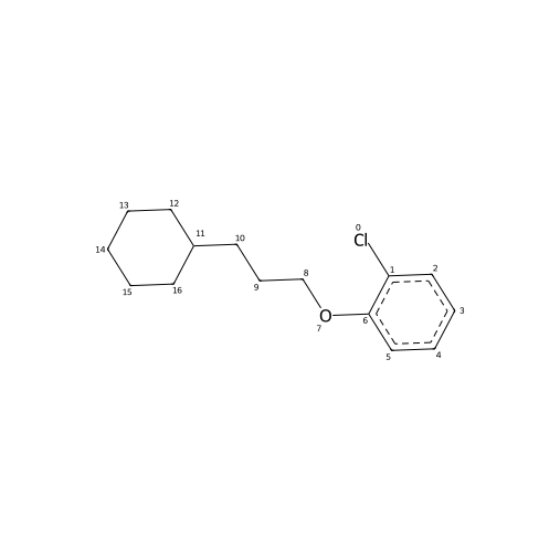 Clc1ccccc1OCCCC1CCCCC1